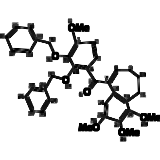 COc1ccc(C(=O)C2=CCCCc3c2cc(OC)c(OC)c3OC)c(OCc2ccccc2)c1OCc1ccccc1